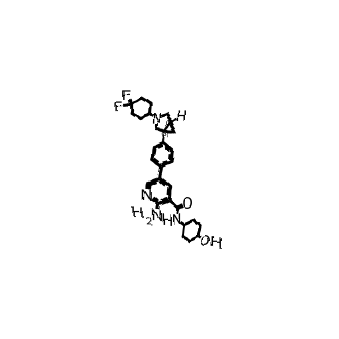 Nc1ncc(-c2ccc([C@]34C[C@H]3CN(C3CCC(F)(F)CC3)C4)cc2)cc1C(=O)NC1CCC(O)CC1